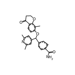 Cc1cc(C(Oc2ccc3c(c2C)OCCC3=O)c2ccc(C(N)=O)cc2)cc(C)n1